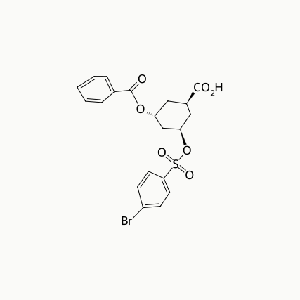 O=C(O[C@H]1C[C@H](OS(=O)(=O)c2ccc(Br)cc2)C[C@H](C(=O)O)C1)c1ccccc1